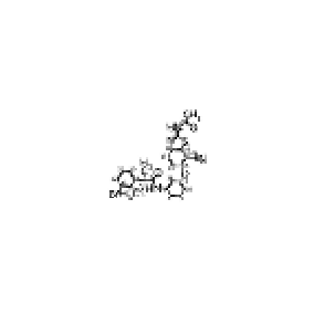 CCC(C)(C(=O)Nc1cccc(Oc2ccc3nc(NC(C)=O)sc3c2C#N)c1)c1cccc(Br)c1